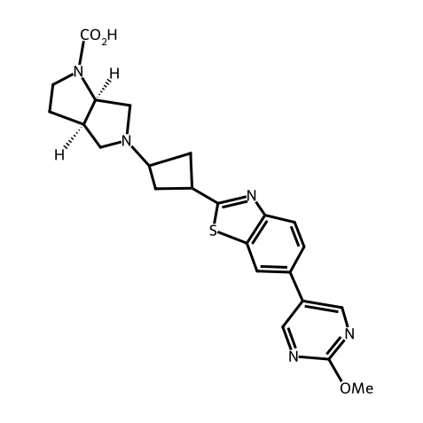 COc1ncc(-c2ccc3nc(C4CC(N5C[C@H]6CCN(C(=O)O)[C@H]6C5)C4)sc3c2)cn1